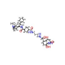 O=C(NCCCCNC[C@H](O)c1ccc(O)c2[nH]c(=O)ccc12)c1ccc(C(=O)N2CC(C(=O)O)(c3ccccc3)[C@H]2C2CN3CCC2CC3)cc1